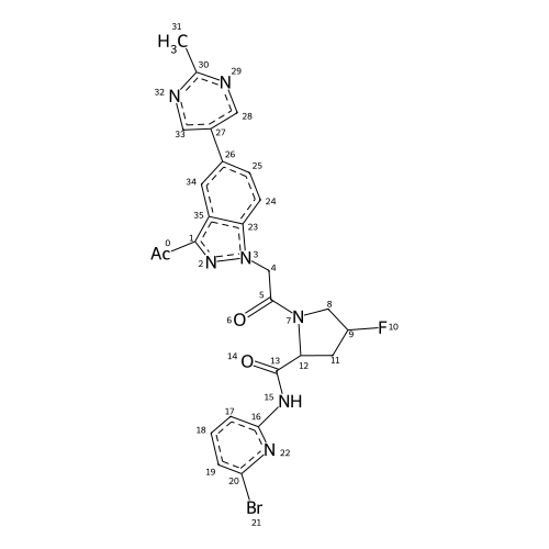 CC(=O)c1nn(CC(=O)N2CC(F)CC2C(=O)Nc2cccc(Br)n2)c2ccc(-c3cnc(C)nc3)cc12